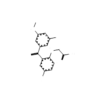 C=C(c1cc(F)cc(OC)c1)c1cc(Cl)ccc1OCC(=O)O